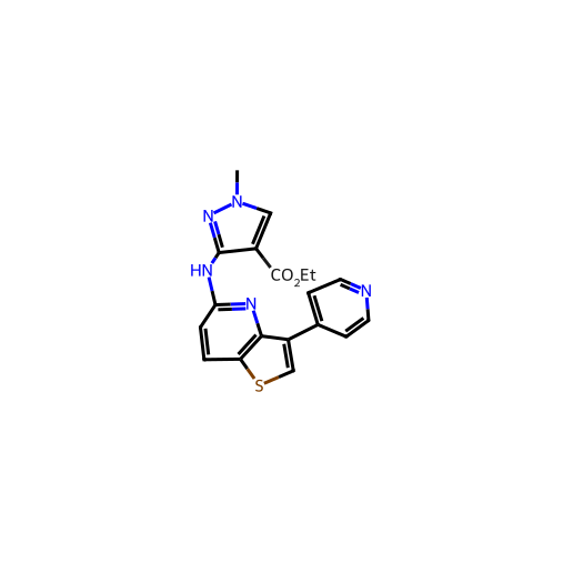 CCOC(=O)c1cn(C)nc1Nc1ccc2scc(-c3ccncc3)c2n1